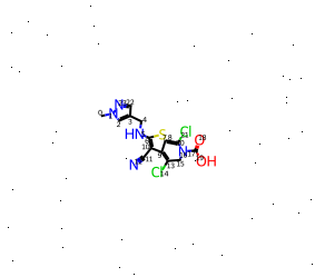 Cn1cc(CNc2sc3c(c2C#N)=C(Cl)CN(C(=O)O)C=3Cl)cn1